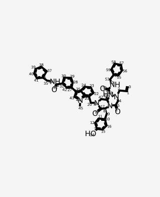 C=CCN1CC(=O)N2[C@@H](Cc3ccc(O)cc3)C(=O)N(Cc3cccc4c(-c5cccc(C(=O)NCc6ccccc6)c5)cn(C)c34)C[C@@H]2N1C(=O)NCc1ccccc1